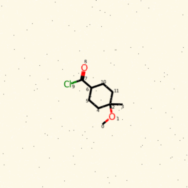 COC1(C)CCC(C(=O)Cl)CC1